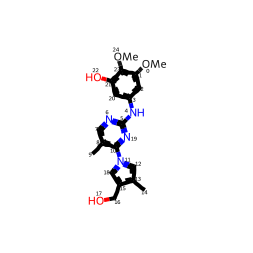 COc1cc(Nc2ncc(C)c(-n3cc(C)c(CO)c3)n2)cc(O)c1OC